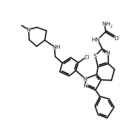 CN1CCC(NCc2ccc(-n3nc(-c4ccccc4)c4c3-c3sc(NC(N)=O)nc3CC4)c(Cl)c2)CC1